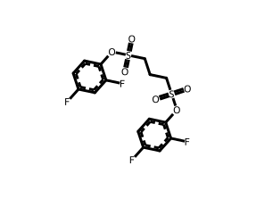 O=S(=O)(CCCS(=O)(=O)Oc1ccc(F)cc1F)Oc1ccc(F)cc1F